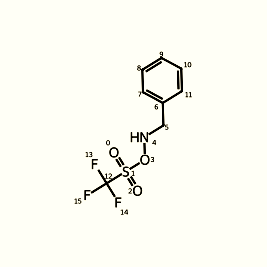 O=S(=O)(ONCc1ccccc1)C(F)(F)F